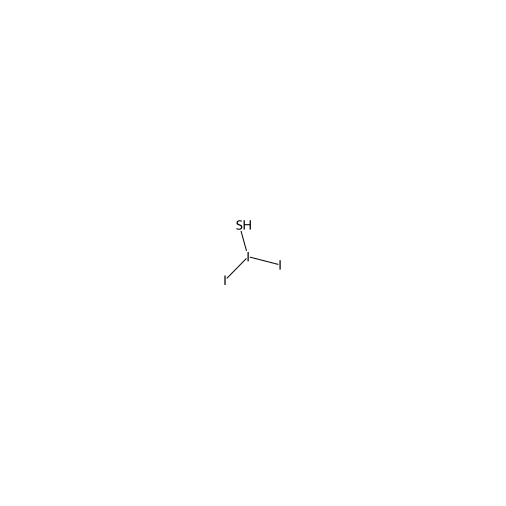 SI(I)I